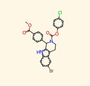 COC(=O)c1ccc(C2c3[nH]c4ccc(Br)cc4c3CCN2C(=O)Oc2ccc(Cl)cc2)cc1